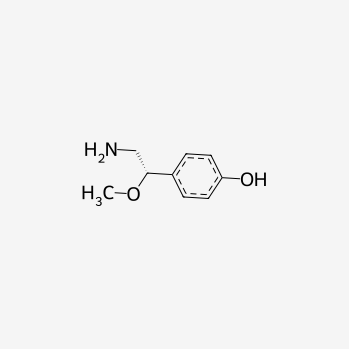 CO[C@H](CN)c1ccc(O)cc1